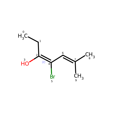 CC/C(O)=C(/Br)C=C(C)C